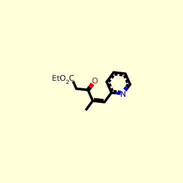 CCOC(=O)CC(=O)C(C)=Cc1ccccn1